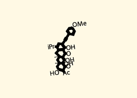 COc1ccc(C#Cc2cc(C(C)C)c3c(c2O)C(=O)C2=C(O)[C@@]4(O)C(=O)C(C(C)=O)=C(O)C[C@@]4(C)C[C@@]2(C)C3)cc1